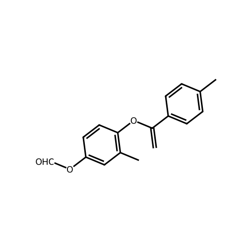 C=C(Oc1ccc(OC=O)cc1C)c1ccc(C)cc1